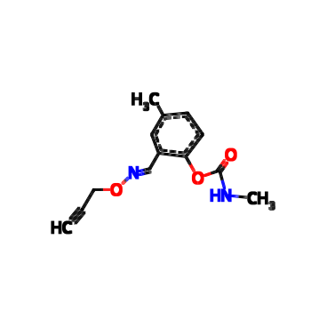 C#CCON=Cc1cc(C)ccc1OC(=O)NC